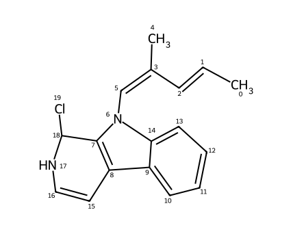 C/C=C/C(C)=C\n1c2c(c3ccccc31)C=CNC2Cl